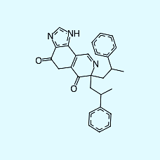 CC(CC1(CC(C)c2ccccc2)N=CC2=C(CC(=O)c3nc[nH]c32)C1=O)c1ccccc1